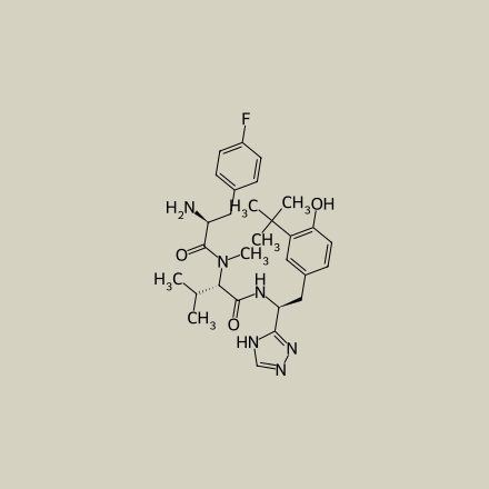 CC(C)[C@@H](C(=O)N[C@@H](Cc1ccc(O)c(C(C)(C)C)c1)c1nnc[nH]1)N(C)C(=O)[C@@H](N)Cc1ccc(F)cc1